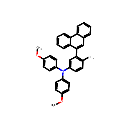 COc1ccc(N(c2ccc(OC)cc2)c2ccc(C)c(-c3cc4ccccc4c4ccccc34)c2)cc1